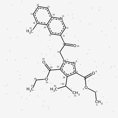 CCOC(=O)c1nn(CC(=O)c2cnc3cccc(C)c3c2)c(C(=O)OCC)c1C(C)C